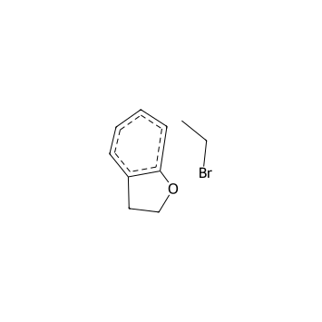 CCBr.c1ccc2c(c1)CCO2